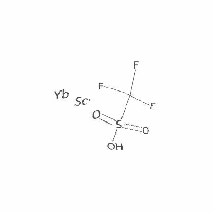 O=S(=O)(O)C(F)(F)F.[Sc].[Yb]